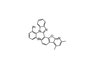 Cc1cc(C)c2c(n1)oc1c(-c3nc4ccccc4n3-c3c(C(C)C)cccc3C(C)C)c(C)ccc12